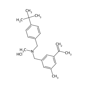 C=C(C)c1cc(C)cc(CN(C)Cc2ccc(C(C)(C)C)cc2)c1.Cl